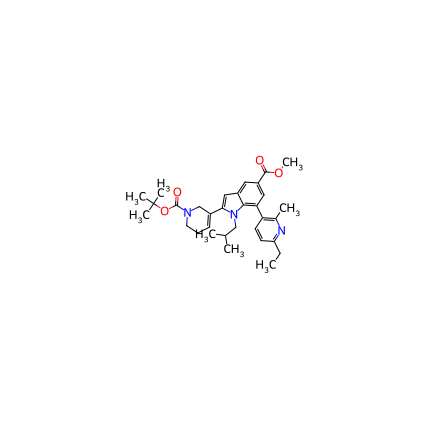 CCc1ccc(-c2cc(C(=O)OC)cc3cc(C4=CCCN(C(=O)OC(C)(C)C)C4)n(CC(C)C)c23)c(C)n1